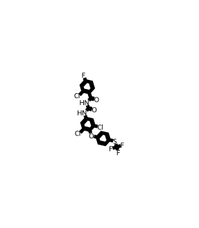 O=C(NC(=O)c1ccc(F)cc1Cl)Nc1cc(Cl)c(Oc2ccc(SC(F)(F)F)cc2)c(Cl)c1